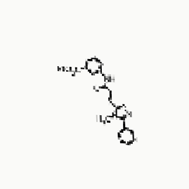 CCOC(=O)c1cccc(NC(=O)CSc2nnc(-c3cccnc3)n2C)c1